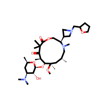 CO[C@]1(C)C[C@@H](C)CN(C)[C@H](C2CN(CC3CCCO3)C2)COC(=O)C(C)(C)C(=O)[C@H](C)[C@H]1O[C@@H]1O[C@H](C)C[C@H](N(C)C)[C@H]1O